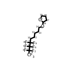 FC(F)(F)C(F)(F)C(F)(F)C(F)(F)CCCCCOC1CCCO1